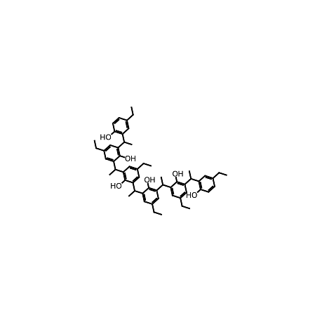 CCc1ccc(O)c(C(C)c2cc(CC)cc(C(C)c3cc(CC)cc(C(C)c4cc(CC)cc(C(C)c5cc(CC)cc(C(C)c6cc(CC)ccc6O)c5O)c4O)c3O)c2O)c1